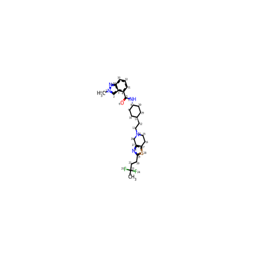 Cn1cc2c(C(=O)N[C@H]3CC[C@H](CCN4CCc5sc(CCC(C)(F)F)nc5C4)CC3)cccc2n1